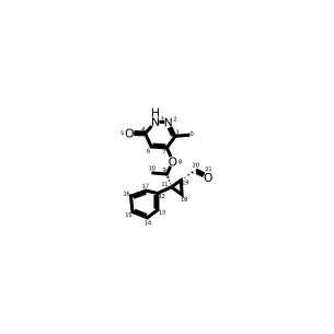 Cc1n[nH]c(=O)cc1OC(C)[C@@]1(c2ccccc2)C[C@H]1C=O